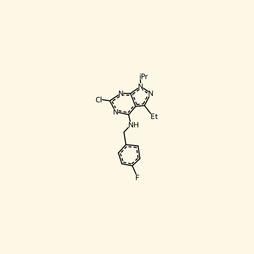 CCc1nn(C(C)C)c2nc(Cl)nc(NCc3ccc(F)cc3)c12